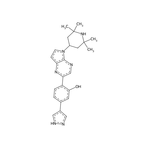 CC1(C)CC(n2ccc3nc(-c4ccc(-c5cn[nH]c5)cc4O)cnc32)CC(C)(C)N1